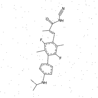 C/C(=C\c1c(C)c(F)c(-c2ccc(NC(C)C)cc2)c(C)c1F)C(=O)NC#N